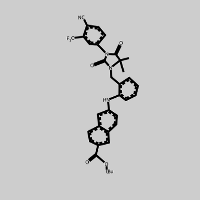 CC(C)(C)OC(=O)c1ccc2cc(Nc3ccccc3CN3C(=O)N(c4ccc(C#N)c(C(F)(F)F)c4)C(=O)C3(C)C)ccc2c1